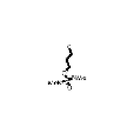 CNP(=O)(NC)OCCCCl